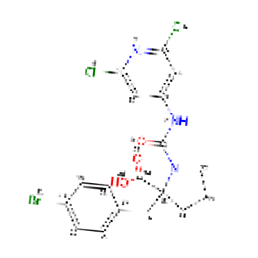 O=C(Nc1cc(Cl)nc(Cl)c1)N1CCCC1(Cc1ccc(Br)cc1)C(=O)O